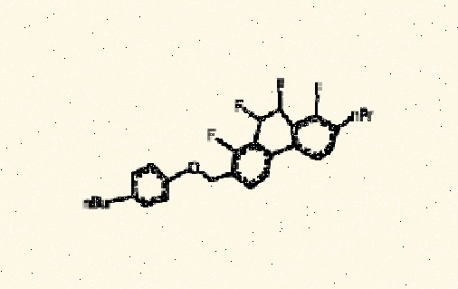 CCCCc1ccc(OCc2ccc3c(c2F)C(F)C(F)c2c-3ccc(CCC)c2F)cc1